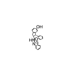 C[C@]1(C(=O)Nc2nc3ccccc3s2)Cc2ccc(O)cc2[C@H]1c1ccccc1